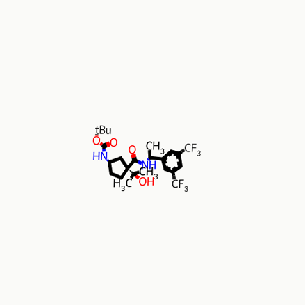 CC(NC(=O)[C@@]1(C(C)(C)O)CC[C@@H](NC(=O)OC(C)(C)C)C1)c1cc(C(F)(F)F)cc(C(F)(F)F)c1